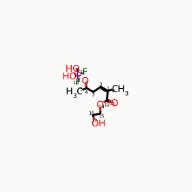 CC(=CCC(C)OP(O)(O)(F)F)C(=O)OCCO